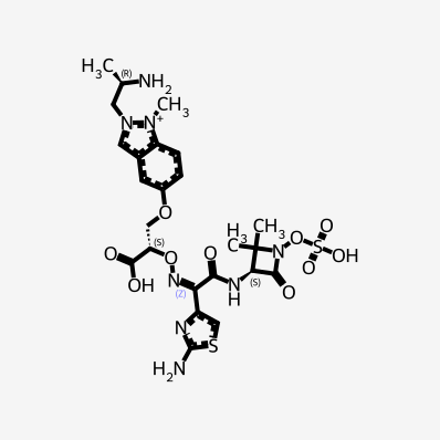 C[C@@H](N)Cn1cc2cc(OC[C@H](O/N=C(\C(=O)N[C@@H]3C(=O)N(OS(=O)(=O)O)C3(C)C)c3csc(N)n3)C(=O)O)ccc2[n+]1C